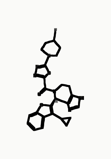 O=C(c1nnc(N2CCC(F)CC2)o1)N1CCc2[nH]cnc2[C@H]1c1oc2ccccc2c1C1CC1